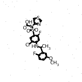 COc1ccc(F)c(C(C)Nc2cc(F)c(S(=O)(=O)N(C(=O)O)c3cscn3)cc2Cl)c1